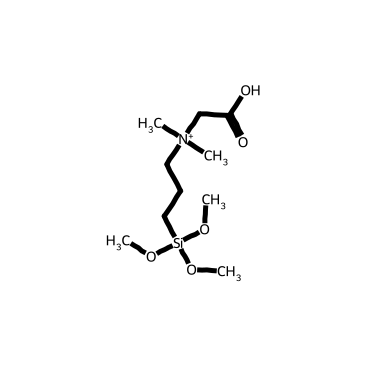 CO[Si](CCC[N+](C)(C)CC(=O)O)(OC)OC